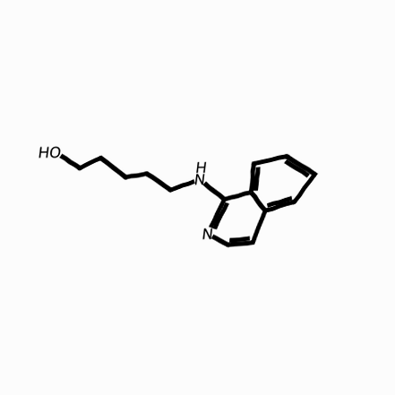 OCCCCCNc1nccc2ccccc12